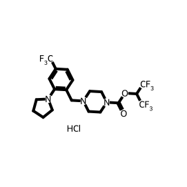 Cl.O=C(OC(C(F)(F)F)C(F)(F)F)N1CCN(Cc2ccc(C(F)(F)F)cc2N2CCCC2)CC1